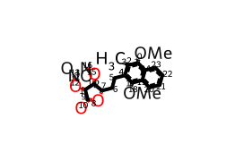 COc1c(C)c(CCC2OC(=O)C(O[N+](=O)[O-])C2O[N+](=O)[O-])c(OC)c2ccccc12